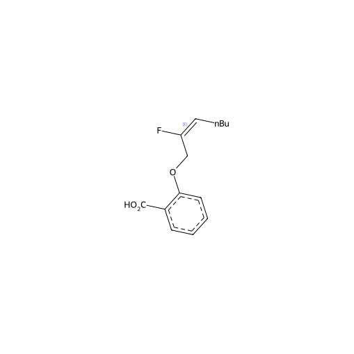 CCCC/C=C(/F)COc1ccccc1C(=O)O